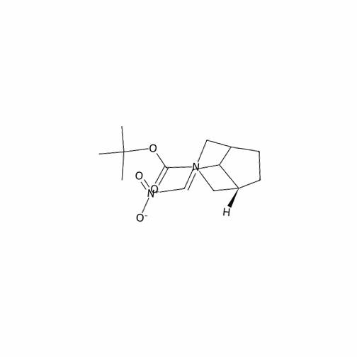 CC(C)(C)OC(=O)N1CC2CC[C@H](C1)C2/C=C/[N+](=O)[O-]